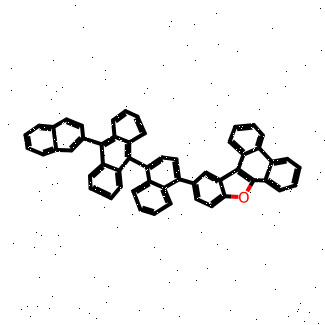 c1ccc2cc(-c3c4ccccc4c(-c4ccc(-c5ccc6oc7c8ccccc8c8ccccc8c7c6c5)c5ccccc45)c4ccccc34)ccc2c1